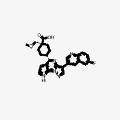 COC[C@]1(C(=O)O)CC[C@H](c2nc3c(-c4cnc5ccc(F)cc5c4)cnn3c3[nH]ccc32)CC1